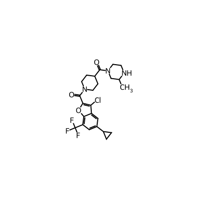 CC1CN(C(=O)C2CCN(C(=O)c3oc4c(C(F)(F)F)cc(C5CC5)cc4c3Cl)CC2)CCN1